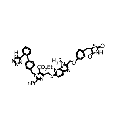 CCCc1nc(CSc2ccc3nc(COc4ccc(CC5SC(=O)NC5=O)cc4)n(C)c3n2)c(C(=O)OCC)n1Cc1ccc(-c2ccccc2-c2nnn[nH]2)cc1